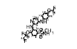 CNS(=O)(=O)c1ccc(OC(F)(F)CF)c(Nc2cc(Nc3ccc(OC(F)F)cc3)ncn2)c1